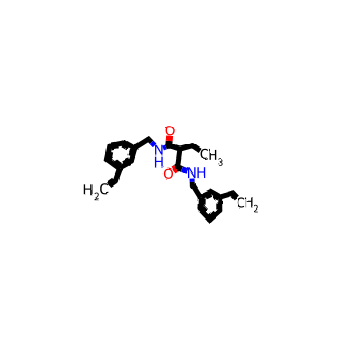 C=Cc1cccc(CNC(=O)C(CC)C(=O)NCc2cccc(C=C)c2)c1